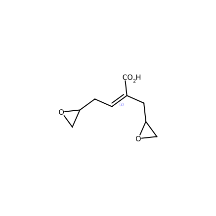 O=C(O)/C(=C\CC1CO1)CC1CO1